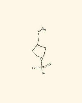 CC(C)CC1CN(S(=O)(=O)C(C)C)C1